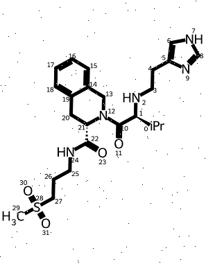 CC(C)[C@H](NCCc1c[nH]cn1)C(=O)N1Cc2ccccc2C[C@H]1C(=O)NCCCS(C)(=O)=O